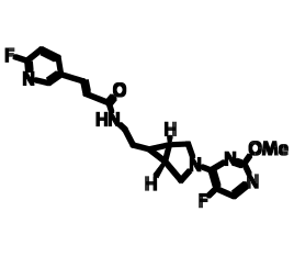 COc1ncc(F)c(N2C[C@@H]3C(CCNC(=O)/C=C/c4ccc(F)nc4)[C@@H]3C2)n1